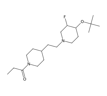 CCC(=O)N1CCC(CCN2CCC(OC(C)(C)C)C(F)C2)CC1